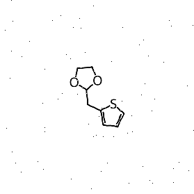 c1csc(CC2OCCO2)c1